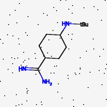 CC(C)(C)NC1CCC(C(=N)N)CC1